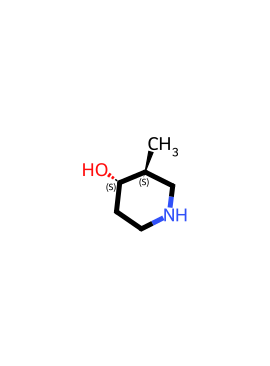 C[C@H]1CNCC[C@@H]1O